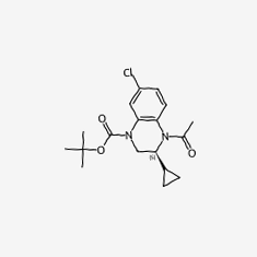 CC(=O)N1c2ccc(Cl)cc2N(C(=O)OC(C)(C)C)C[C@@H]1C1CC1